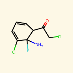 NC1(F)C(Cl)=CC=CC1C(=O)CCl